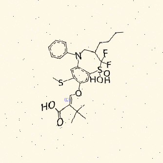 CCCCC1CN(c2ccccc2)c2cc(SC)c(O/C=C(/C(=O)O)C(C)(C)C)cc2S(O)(O)C1(F)F